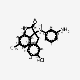 Nc1cccc(NC2(Cc3cccc(Cl)c3)C(=O)Nc3cc(Cl)ccc32)c1